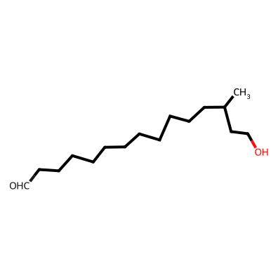 CC(CCO)CCCCCCCCCCCC=O